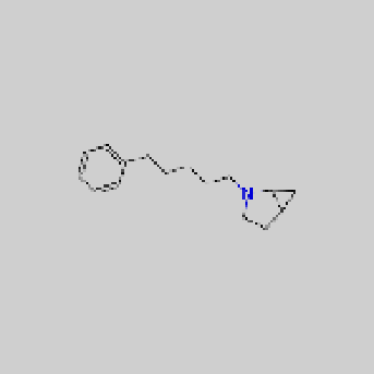 c1ccc(CCCCCN2CCC3CC32)cc1